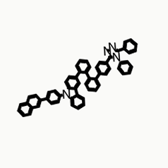 c1ccc(-c2nnc(-c3ccc(-c4ccccc4-c4ccccc4-c4ccc5c(c4)c4ccccc4n5-c4ccc(-c5ccc6ccccc6c5)cc4)cc3)n2-c2ccccc2)cc1